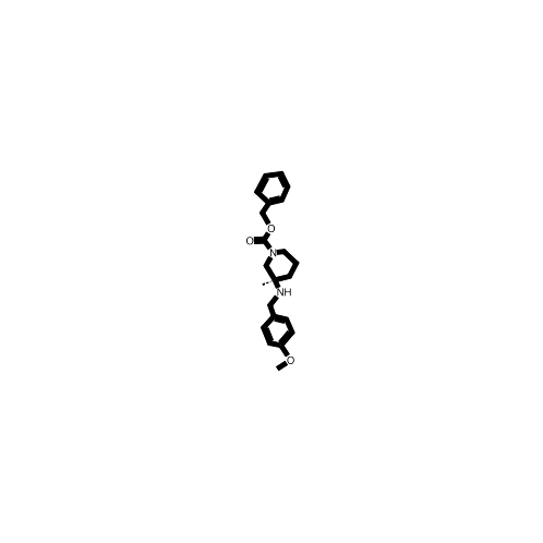 COc1ccc(CN[C@]2(C)CCCN(C(=O)OCc3ccccc3)C2)cc1